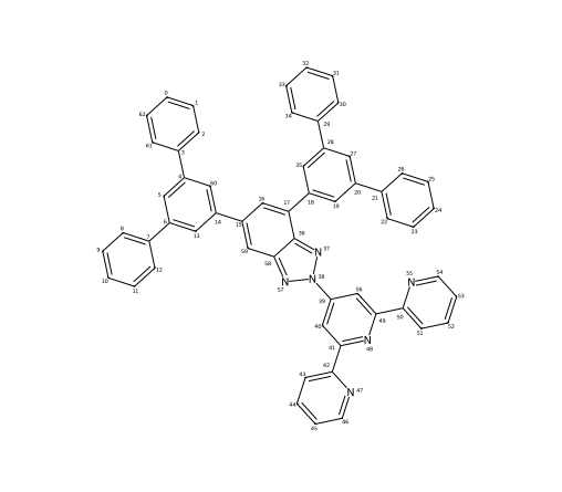 c1ccc(-c2cc(-c3ccccc3)cc(-c3cc(-c4cc(-c5ccccc5)cc(-c5ccccc5)c4)c4nn(-c5cc(-c6ccccn6)nc(-c6ccccn6)c5)nc4c3)c2)cc1